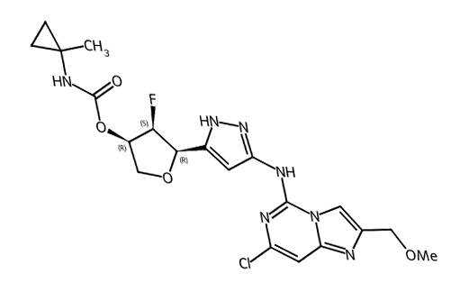 COCc1cn2c(Nc3cc([C@H]4OC[C@@H](OC(=O)NC5(C)CC5)[C@H]4F)[nH]n3)nc(Cl)cc2n1